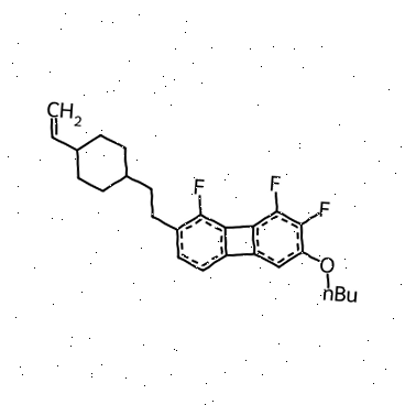 C=CC1CCC(CCc2ccc3c(c2F)-c2c-3cc(OCCCC)c(F)c2F)CC1